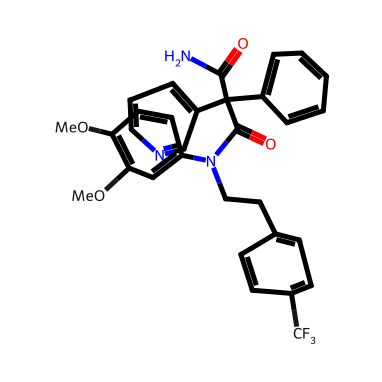 COc1ccc(N(CCc2ccc(C(F)(F)F)cc2)C(=O)C(C(N)=O)(c2ccccc2)c2cccnc2)cc1OC